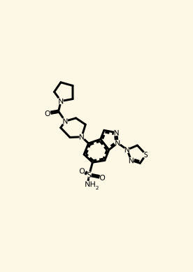 NS(=O)(=O)c1cc(N2CCN(C(=O)N3CCCC3)CC2)c2cnn(N3CSC=N3)c2c1